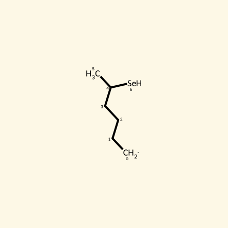 [CH2]CCCC(C)[SeH]